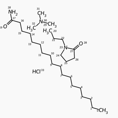 CCCCCCCCCCCCCCCCCC(N)=O.CCCN1CCCC1=O.CN(C)C.Cl